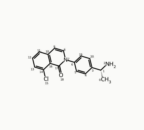 C[C@@H](N)c1ccc(-n2ccc3[c]ccc(Cl)c3c2=O)cc1